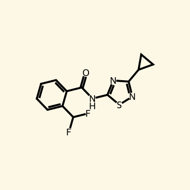 O=C(Nc1nc(C2CC2)ns1)c1ccccc1C(F)F